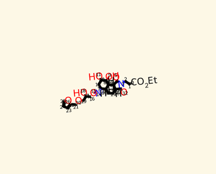 CCOC(=O)CCN1C(=O)[C@H]2[C@H]3[C@H](O)[C@H](O)C/C(=N\OC[C@@H](O)COCc4ccco4)[C@H]3CC[C@H]2C1=O